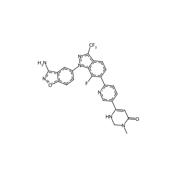 CN1CNC(c2ccc(-c3ccc4c(C(F)(F)F)nn(-c5ccc6onc(N)c6c5)c4c3F)nc2)=CC1=O